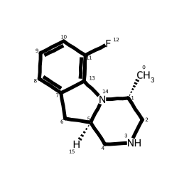 C[C@@H]1CNC[C@H]2Cc3cccc(F)c3N21